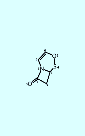 O=C1CC2SOC=CN12